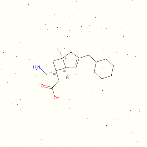 NC[C@]1(CC(=O)O)C[C@H]2CC(CC3CCCCC3)=C[C@H]21